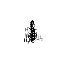 NC(=O)C1=C(O)[C@H](N)[C@@H]2C[C@@H]3Cc4c(F)cc(NC(=O)CN5CCCC5)c(O)c4C(=O)C3=C(O)[C@]2(O)C1=O